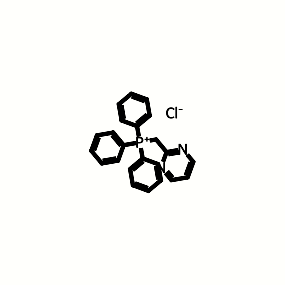 [Cl-].c1ccc([P+](Cc2ncccn2)(c2ccccc2)c2ccccc2)cc1